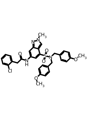 COc1ccc(CN(Cc2ccc(OC)cc2)S(=O)(=O)c2cc(NC(=O)Cc3ccccc3Cl)cc3nn(C)cc23)cc1